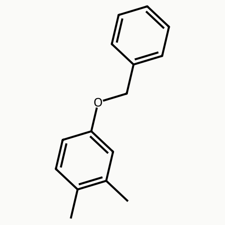 Cc1ccc(OCc2ccccc2)cc1C